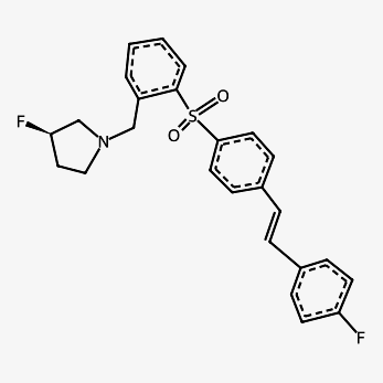 O=S(=O)(c1ccc(C=Cc2ccc(F)cc2)cc1)c1ccccc1CN1CC[C@@H](F)C1